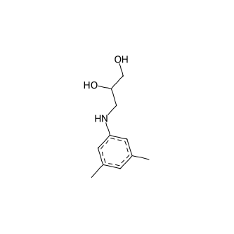 Cc1cc(C)cc(NCC(O)CO)c1